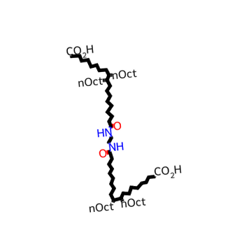 CCCCCCCCC(CCCCCCCCC(=O)O)C(CCCCCCCC)CCCCCCCCC(=O)NCCNC(=O)CCCCCCCCC(CCCCCCCC)C(CCCCCCCC)CCCCCCCCC(=O)O